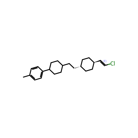 Cc1ccc(C2CCC(CC[C@H]3CC[C@H](/C=C/Cl)CC3)CC2)cc1